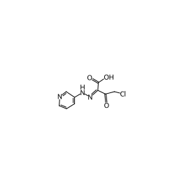 O=C(O)C(=NNc1cccnc1)C(=O)CCl